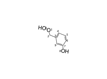 OOCc1cccc(O)c1